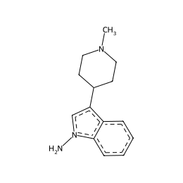 CN1CCC(c2cn(N)c3ccccc23)CC1